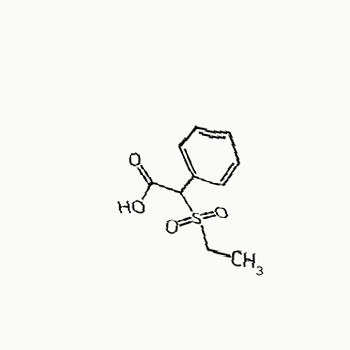 CCS(=O)(=O)C(C(=O)O)c1ccccc1